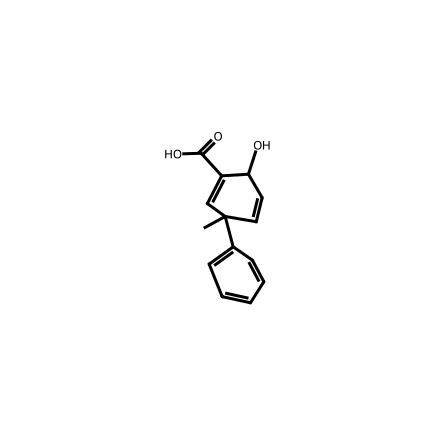 CC1(c2ccccc2)C=CC(O)C(C(=O)O)=C1